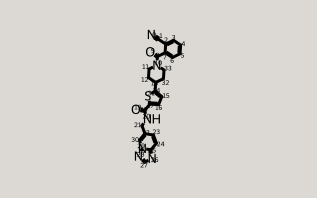 N#Cc1ccccc1C(=O)N1CCC(c2ccc(C(=O)NCc3ccc4ncnn4c3)s2)CC1